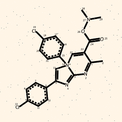 CC1=NC2=NC(c3ccc(Cl)cc3)=C[N+]2(c2ccc(Cl)cc2)C=C1C(=O)ON(C)C